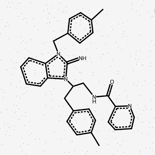 Cc1ccc(CC(CNC(=O)c2ccccn2)n2c(=N)n(Cc3ccc(C)cc3)c3ccccc32)cc1